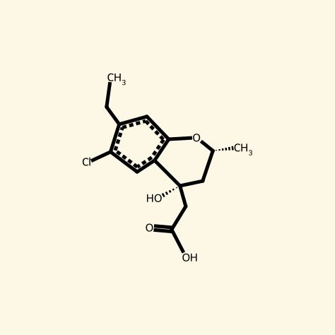 CCc1cc2c(cc1Cl)[C@](O)(CC(=O)O)C[C@@H](C)O2